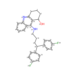 OC1CCCc2nc3ccccc3c(NCCCC(c3ccc(F)cc3)c3ccc(F)cc3)c21